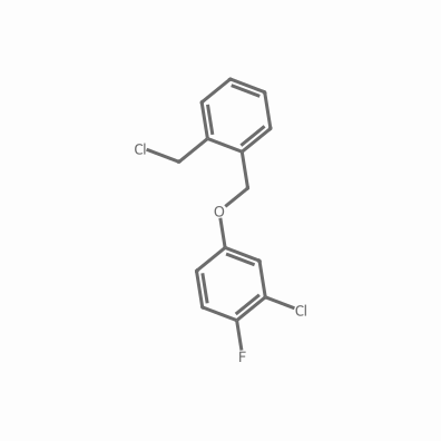 Fc1ccc(OCc2ccccc2CCl)cc1Cl